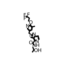 Cc1cc(Cn2cc3c(C(=O)NCC(C)O)nccc3n2)cnc1OCCC(F)(F)F